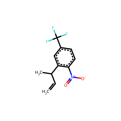 C=C[C](C)c1cc(C(F)(F)F)ccc1[N+](=O)[O-]